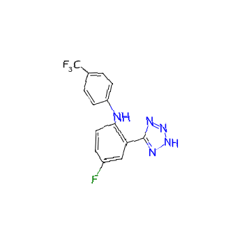 Fc1ccc(Nc2ccc(C(F)(F)F)cc2)c(-c2nn[nH]n2)c1